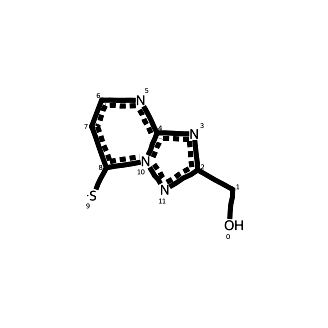 OCc1nc2nccc([S])n2n1